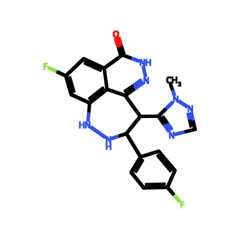 Cn1ncnc1C1c2n[nH]c(=O)c3cc(F)cc(c23)NNC1c1ccc(F)cc1